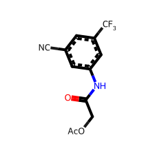 CC(=O)OCC(=O)Nc1cc(C#N)cc(C(F)(F)F)c1